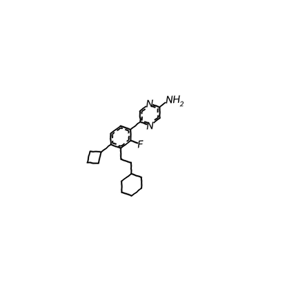 Nc1cnc(-c2ccc(C3CCC3)c(CCC3CCCCC3)c2F)cn1